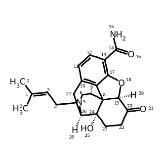 CC(C)=CCN1CCC23c4c5ccc(C(N)=O)c4O[C@H]2C(=O)CC[C@@]3(O)[C@H]1C5